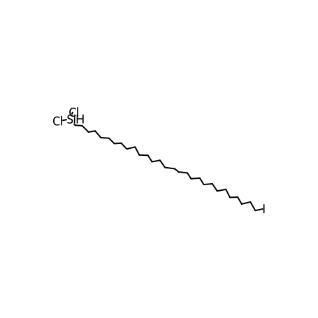 Cl[SiH](Cl)CCCCCCCCCCCCCCCCCCCCCCCCCCCCCI